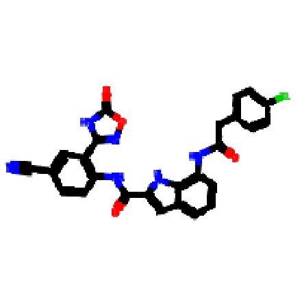 N#Cc1ccc(NC(=O)c2cc3cccc(NC(=O)Cc4ccc(Cl)cc4)c3[nH]2)c(-c2noc(=O)[nH]2)c1